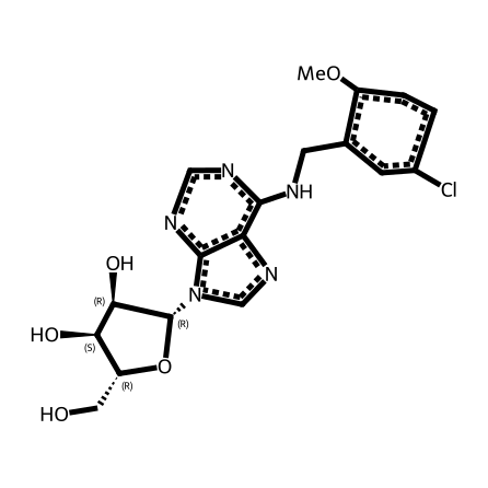 COc1ccc(Cl)cc1CNc1ncnc2c1ncn2[C@@H]1O[C@H](CO)[C@@H](O)[C@H]1O